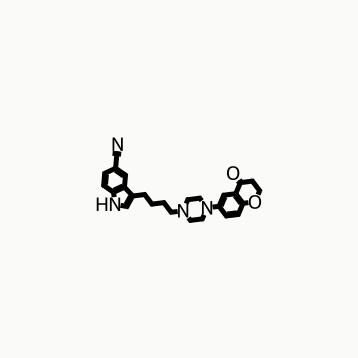 N#Cc1ccc2[nH]cc(CCCCN3CCN(c4ccc5c(c4)C(=O)CCO5)CC3)c2c1